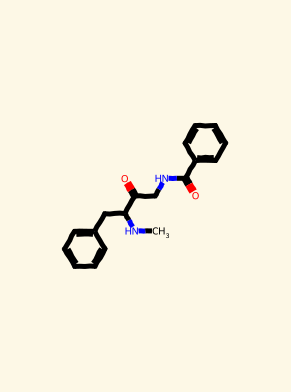 CNC(Cc1ccccc1)C(=O)CNC(=O)c1ccccc1